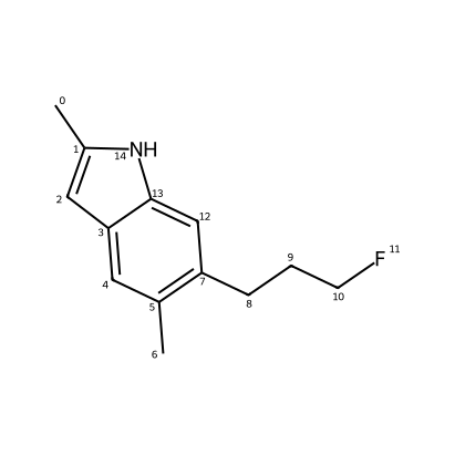 Cc1cc2cc(C)c(CCCF)cc2[nH]1